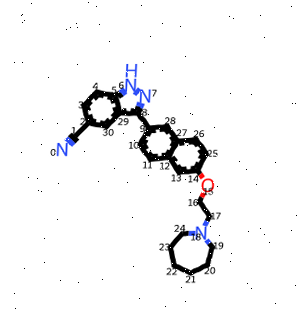 N#Cc1ccc2[nH]nc(-c3ccc4cc(OCCN5CCCCCC5)ccc4c3)c2c1